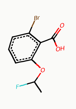 CC(F)Oc1cccc(Br)c1C(=O)O